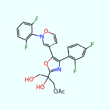 CC(=O)OCC(O)(CO)c1nc(-c2ccc(F)cc2F)c(C2=CN(c3c(F)cccc3F)OC=C2)o1